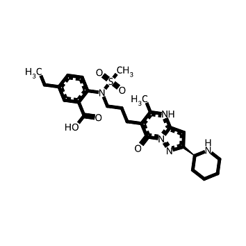 CCc1ccc(N(CCCc2c(C)[nH]c3cc([C@@H]4CCCCN4)nn3c2=O)S(C)(=O)=O)c(C(=O)O)c1